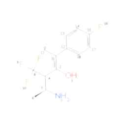 CC(=C(O)C([C@H](C)N)C(F)(F)F)c1ccc(F)cc1